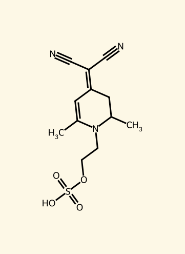 CC1=CC(=C(C#N)C#N)CC(C)N1CCOS(=O)(=O)O